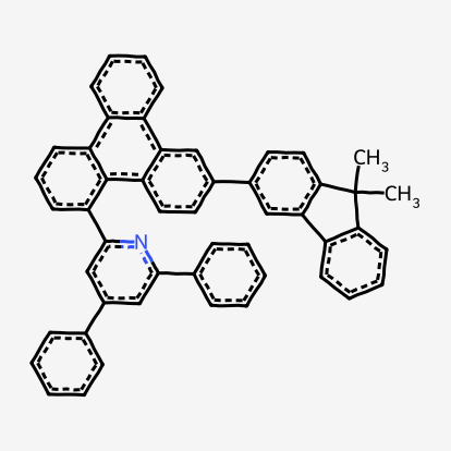 CC1(C)c2ccccc2-c2cc(-c3ccc4c(c3)c3ccccc3c3cccc(-c5cc(-c6ccccc6)cc(-c6ccccc6)n5)c34)ccc21